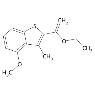 C=C(OCC)c1sc2cccc(OC)c2c1C